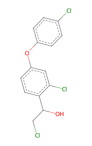 OC(CCl)c1ccc(Oc2ccc(Cl)cc2)cc1Cl